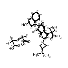 CN(C)C1CN(c2nc(C3(C(N)=O)CNC3)c3cc(Cl)c(-c4cc(O)cc5ccccc45)c(F)c3n2)C1.O=C(O)C(F)(F)F.O=C(O)C(F)(F)F